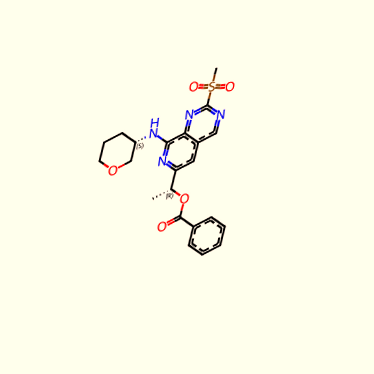 C[C@@H](OC(=O)c1ccccc1)c1cc2cnc(S(C)(=O)=O)nc2c(N[C@H]2CCCOC2)n1